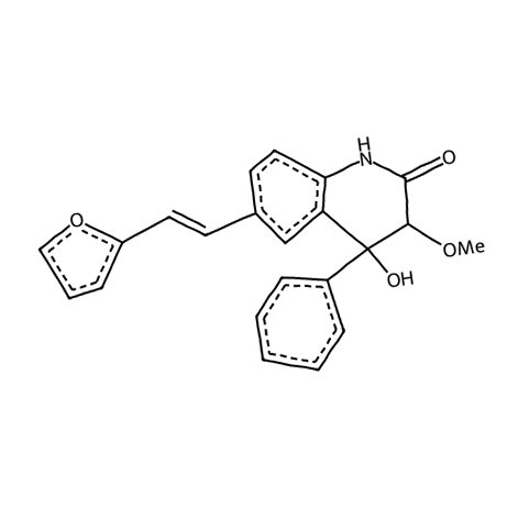 COC1C(=O)Nc2ccc(/C=C/c3ccco3)cc2C1(O)c1ccccc1